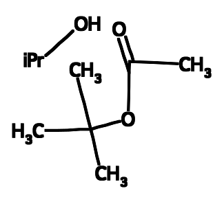 CC(=O)OC(C)(C)C.CC(C)O